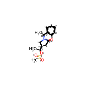 C[C@H](OS(C)(=O)=O)[C@@H]1CC(=O)N([C@H](C)c2ccccc2)C1